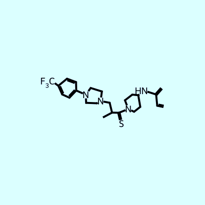 C=CC(=C)NC1CCN(C(=S)C(C)CN2CCN(c3ccc(C(F)(F)F)cc3)CC2)CC1